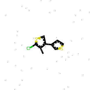 Cc1c(-c2ccsc2)csc1Cl